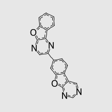 c1ccc2c(c1)oc1ncc(-c3ccc4c(c3)oc3ncncc34)nc12